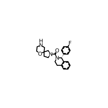 O=C(N1CCC2(CNCCO2)C1)N1CCc2ccccc2[C@H]1c1ccc(F)cc1